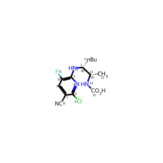 CCCC[C@@H](Nc1nc(Cl)c(C#N)cc1F)[C@H](C)NC(=O)O